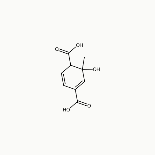 CC1(O)C=C(C(=O)O)C=CC1C(=O)O